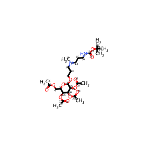 CC(=O)OCC1OC(OCCCN(C)CCCNC(=O)OC(C)(C)C)C(OC(C)=O)C(OC(C)=O)C1OC(C)=O